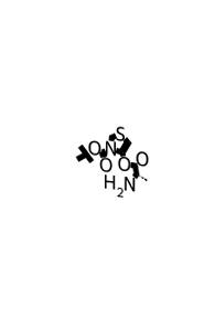 C[C@H](N)C(=O)OC1=CSCN1C(=O)OC(C)(C)C